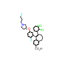 Cl.O=C(O)c1ccc2c(c1)CCCC(c1ccccc1Cl)=C2c1cc(O[C@@H]2CCN(CCCF)C2)ccc1F